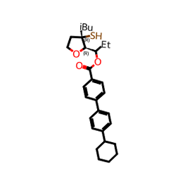 CCC(OC(=O)c1ccc(-c2ccc(C3CCCCC3)cc2)cc1)[C@H]1OCC[C@@]1(S)C(C)CC